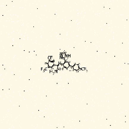 NNC(=Nc1ccc(-c2ccc(C(F)(F)F)cc2)cc1-c1nnn[nH]1)c1cc(C(F)(F)F)cc(C(F)(F)F)c1